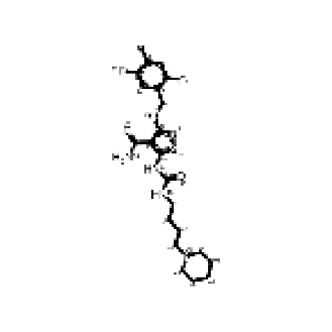 Cc1cc(F)c(COc2nsc(NC(=O)NCCCCN3CCCCC3)c2C(N)=O)cc1F